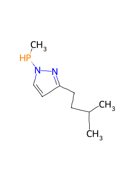 CPn1ccc(CCC(C)C)n1